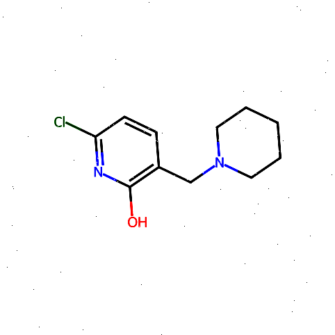 Oc1nc(Cl)ccc1CN1CCCCC1